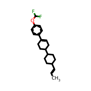 C/C=C/C1CCC(C2CC=C(c3ccc(OC(F)F)cc3)CC2)CC1